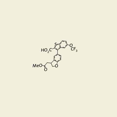 COC(=O)CC1COc2ccc(-c3c(C(=O)O)sc4ccc(OC(F)(F)F)cc34)cc21